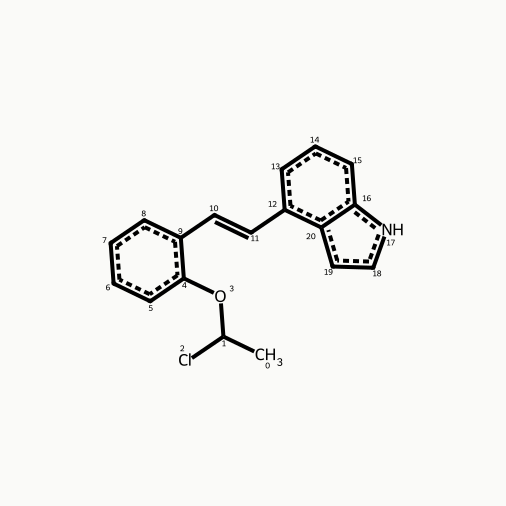 CC(Cl)Oc1ccccc1C=Cc1cccc2[nH]ccc12